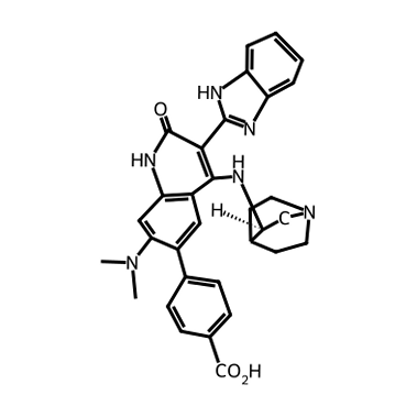 CN(C)c1cc2[nH]c(=O)c(-c3nc4ccccc4[nH]3)c(N[C@H]3CN4CCC3CC4)c2cc1-c1ccc(C(=O)O)cc1